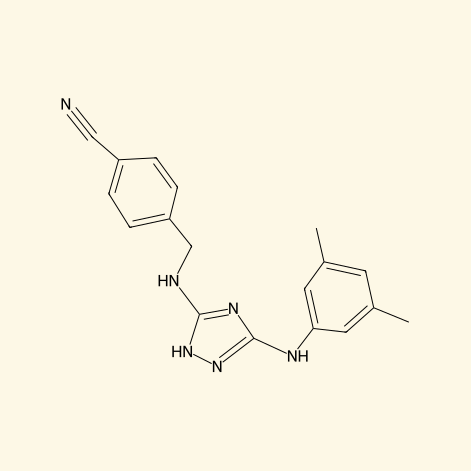 Cc1cc(C)cc(Nc2n[nH]c(NCc3ccc(C#N)cc3)n2)c1